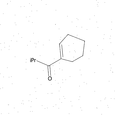 CC(C)C(=O)C1=CCCCC1